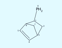 PC1CC2C=CC1C2